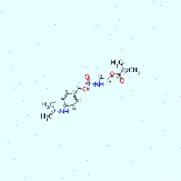 CC(C)Nc1ccc(COC(=O)NCCOC(=O)C(C)C)cc1